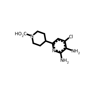 Nc1nc(C2CCN(C(=O)O)CC2)cc(Cl)c1N